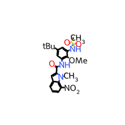 COc1c(NC(=O)c2cc3cccc([N+](=O)[O-])c3n2C)cc(C(C)(C)C)cc1NS(C)(=O)=O